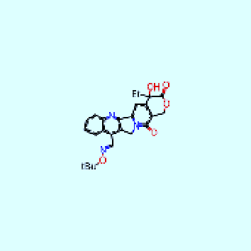 CCC1(O)C(=O)OCc2c1cc1n(c2=O)Cc2c-1nc1ccccc1c2C=NOC(C)(C)C